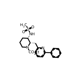 CCOC(=O)N1CCC[C@H](NS(C)(=O)=O)[C@@H]1Cc1cccc(-c2ccccc2)n1